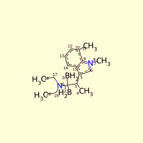 BC(B)(C(C)c1cn(C)c2c(C)cccc12)N(CC)CC